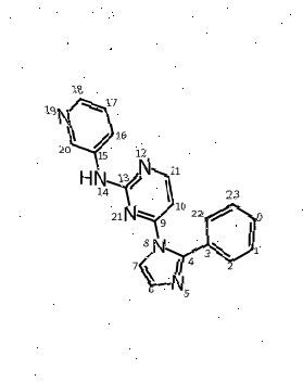 c1ccc(-c2nccn2-c2ccnc(Nc3cccnc3)n2)cc1